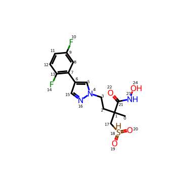 CC(CCn1cc(-c2cc(F)ccc2F)cn1)(C[SH](=O)=O)C(=O)NO